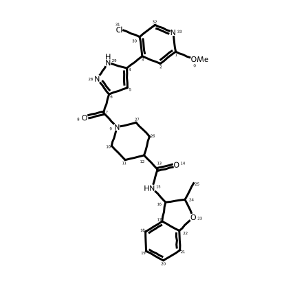 COc1cc(-c2cc(C(=O)N3CCC(C(=O)NC4c5ccccc5OC4C)CC3)n[nH]2)c(Cl)cn1